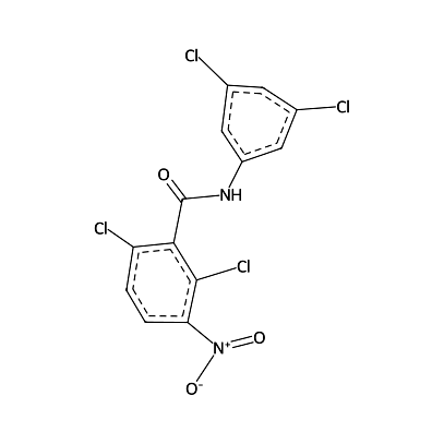 O=C(Nc1cc(Cl)cc(Cl)c1)c1c(Cl)ccc([N+](=O)[O-])c1Cl